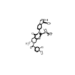 CC(C)Nc1nc2c(c(=O)n1-c1ccc3c(c1)C(=O)NC3)C[C@@H](C)N(C(=O)c1ccc(Cl)c(Cl)c1)C2